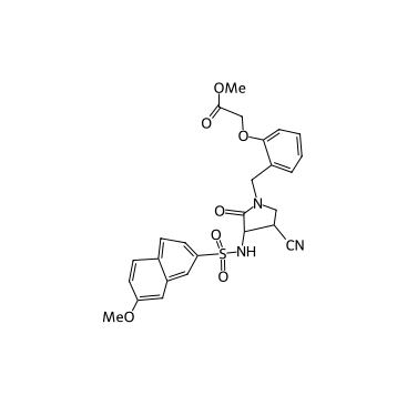 COC(=O)COc1ccccc1CN1CC(C#N)C(NS(=O)(=O)c2ccc3ccc(OC)cc3c2)C1=O